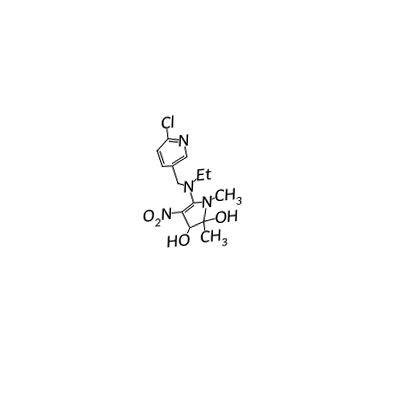 CCN(Cc1ccc(Cl)nc1)C1=C([N+](=O)[O-])C(O)C(C)(O)N1C